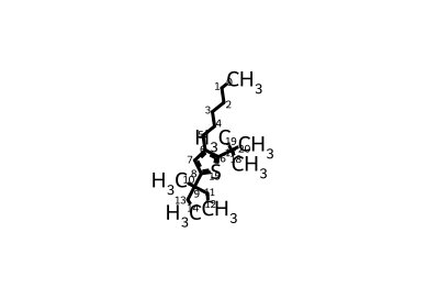 CCCCCCc1cc(C(C)(CC)CC)sc1C(C)(C)C